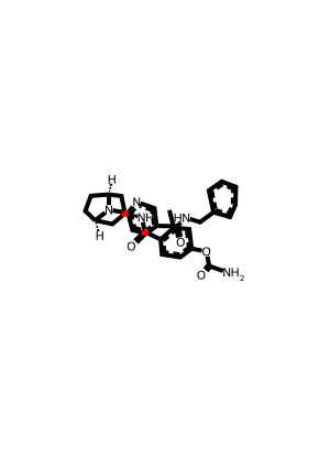 Cc1cc(OC(N)=O)ccc1C(=O)N[C@H]1C[C@H]2CC[C@@H](C1)N2c1ccc(C(=O)NCc2ccccc2)cn1